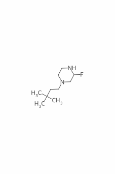 CC(C)(C)CCN1CCNC(F)C1